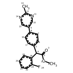 COC(=O)C(c1ccc(-c2cnc(C)nc2)cc1)c1ccccc1F